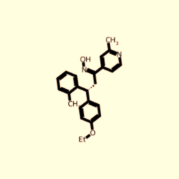 CCOc1ccc([C@@H](CC(=NO)c2ccnc(C)c2)c2ccccc2C)cc1